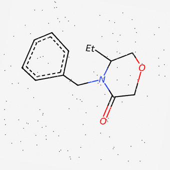 CCC1COCC(=O)N1Cc1ccccc1